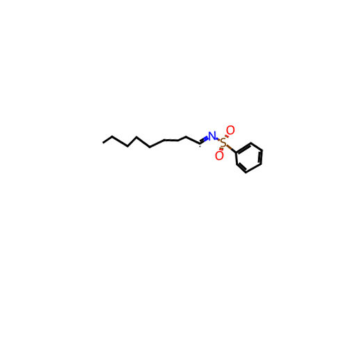 CCCCCCCC[C]=NS(=O)(=O)c1ccccc1